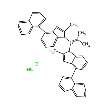 CC1=Cc2c(-c3cccc4ccccc34)cccc2[CH]1[Ti]([CH]1C(C)=Cc2c(-c3cccc4ccccc34)cccc21)=[Si](C)C.Cl.Cl